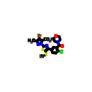 Cc1nn(-c2nc(-c3ccc(Cl)c(C(=O)N4CCOCC4)c3)c(SC(C)C)s2)c(C(=O)O)c1Br